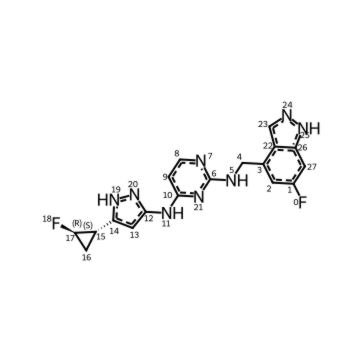 Fc1cc(CNc2nccc(Nc3cc([C@@H]4C[C@H]4F)[nH]n3)n2)c2cn[nH]c2c1